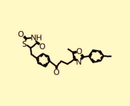 Cc1ccc(-c2nc(CCC(=O)c3ccc(CC4SC(=O)NC4=O)cc3)c(C)o2)cc1